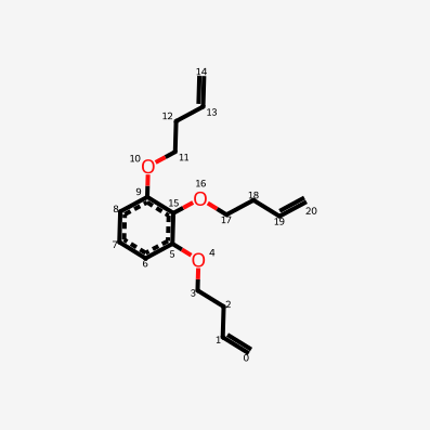 C=CCCOc1cccc(OCCC=C)c1OCCC=C